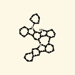 c1ccc(-n2c3ccccc3c3cc4c5c([nH]c6cccc(c7cccc8c9cc%10ccccc%10cc9n4c78)c65)c32)cc1